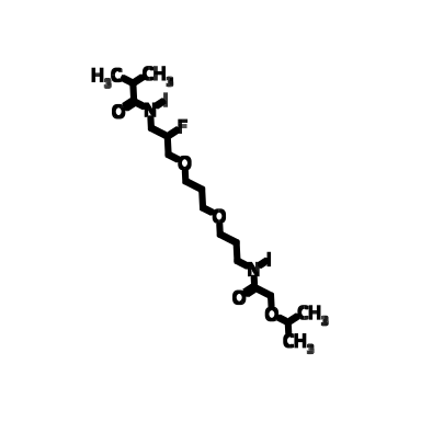 CC(C)OCC(=O)N(I)CCCOCCCOCC(F)CN(I)C(=O)C(C)C